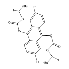 CCCCC(I)OC(=O)Oc1c2ccc(CC)cc2c(OC(=O)OC(I)CCCC)c2ccc(CC)cc12